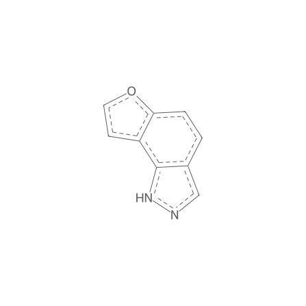 c1cc2c(ccc3cn[nH]c32)o1